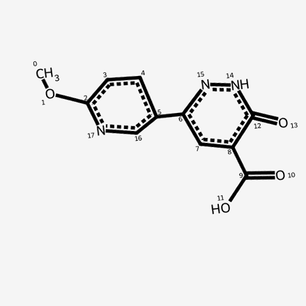 COc1ccc(-c2cc(C(=O)O)c(=O)[nH]n2)cn1